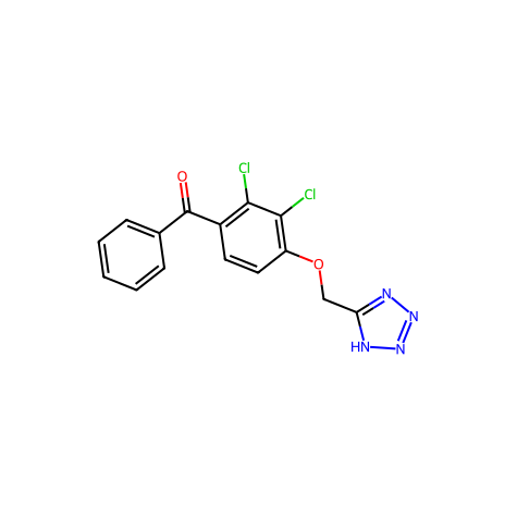 O=C(c1ccccc1)c1ccc(OCc2nnn[nH]2)c(Cl)c1Cl